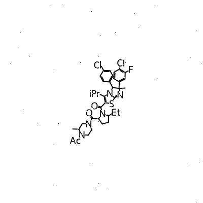 CCC1CCC(C(=O)N2CCN(C(C)=O)C(C)C2)N1C(=O)C1=C(C(C)C)N2C(=NC(C)(c3ccc(Cl)c(F)c3)C2c2ccc(Cl)cc2)S1